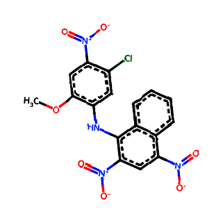 COc1cc([N+](=O)[O-])c(Cl)cc1Nc1c([N+](=O)[O-])cc([N+](=O)[O-])c2ccccc12